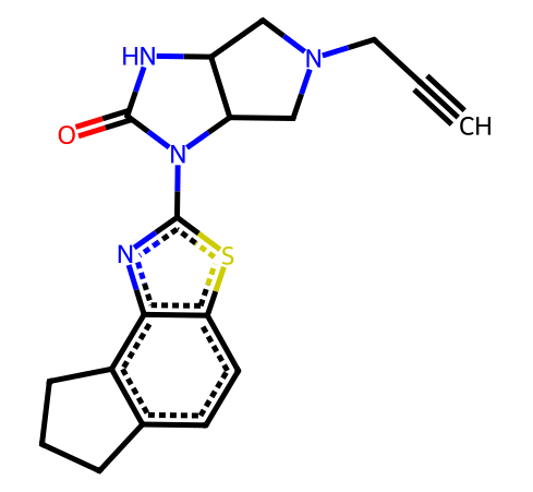 C#CCN1CC2NC(=O)N(c3nc4c5c(ccc4s3)CCC5)C2C1